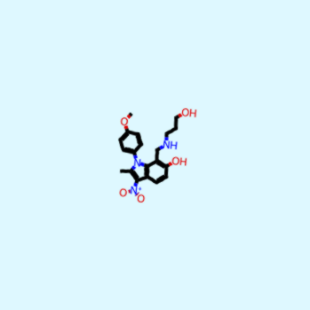 COc1ccc(-n2c(C)c([N+](=O)[O-])c3ccc(O)c(CNCCCO)c32)cc1